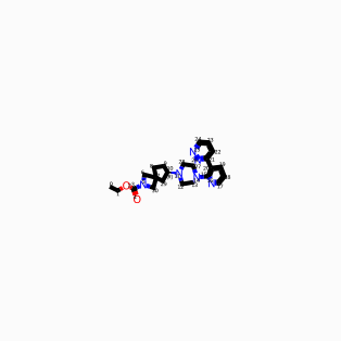 CCOC(=O)N1CC2(CC[C@@H](N3CCN(c4ncccc4-c4cccnn4)CC3)C2)C1